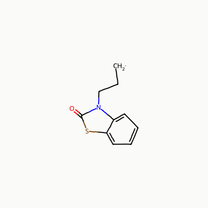 [CH2]CCn1c(=O)sc2ccccc21